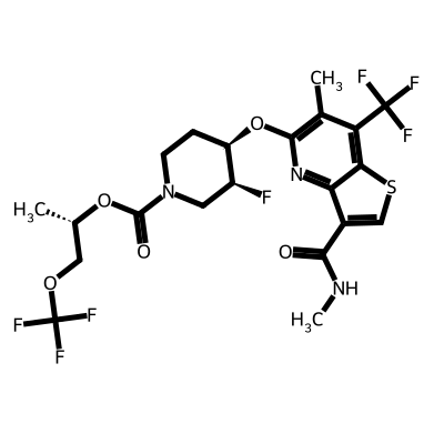 CNC(=O)c1csc2c(C(F)(F)F)c(C)c(O[C@@H]3CCN(C(=O)O[C@@H](C)COC(F)(F)F)C[C@@H]3F)nc12